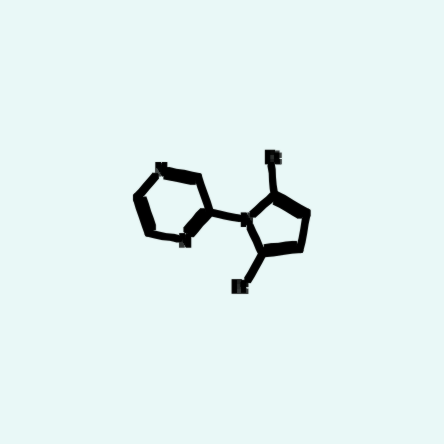 CCc1ccc(CC)n1-c1cnccn1